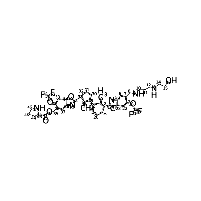 Cc1c(-c2nc3cc(CNCCCNCCO)c(OC(F)F)cc3o2)cccc1-c1cccc(-c2nc3cc(COC(=O)[C@@H]4CCCN4)c(OC(F)F)cc3o2)c1C